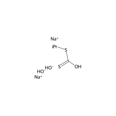 CC(C)SC(O)=S.[Na+].[Na+].[OH-].[OH-]